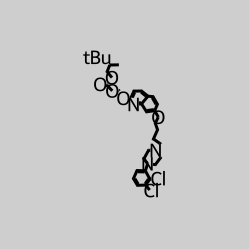 CC(COC(=O)OCOc1ccc2ccc(OCCCCN3CCN(c4cccc(Cl)c4Cl)CC3)cc2n1)C(C)(C)C